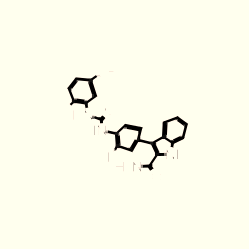 NC(=O)c1[nH]c2ccccc2c1-c1ccc(NC(=O)Nc2cc(C(F)(F)F)ccc2F)c(F)c1